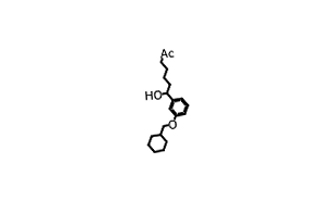 CC(=O)CCCCC(O)c1cccc(OCC2CCCCC2)c1